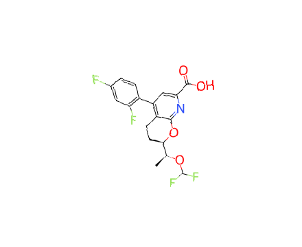 C[C@H](OC(F)F)[C@H]1CCc2c(-c3ccc(F)cc3F)cc(C(=O)O)nc2O1